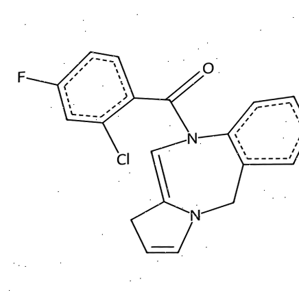 O=C(c1ccc(F)cc1Cl)N1C=C2CC=CN2Cc2ccccc21